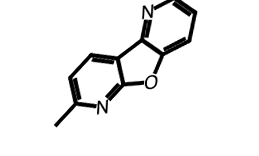 Cc1ccc2c(n1)oc1cccnc12